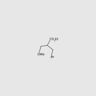 CCOC(=O)C(COC)CC(C)C